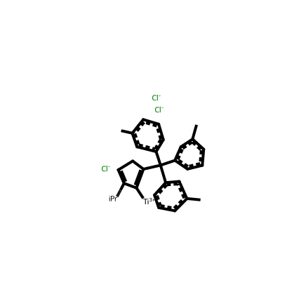 Cc1cccc(C(C2=[C]([Ti+3])C(C(C)C)=CC2)(c2cccc(C)c2)c2cccc(C)c2)c1.[Cl-].[Cl-].[Cl-]